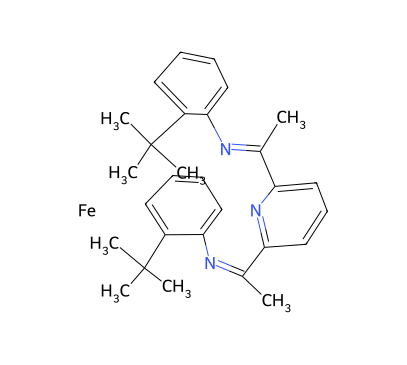 CC(=Nc1ccccc1C(C)(C)C)c1cccc(C(C)=Nc2ccccc2C(C)(C)C)n1.[Fe]